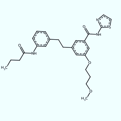 CCCC(=O)Nc1cccc(CCc2cc(OCCCOC)cc(C(=O)Nc3nccs3)c2)c1